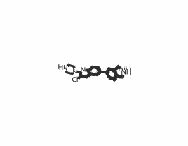 Clc1cc2cc(-c3ccc4c(c3)CNC4)ccc2nc1N1CCNCC1